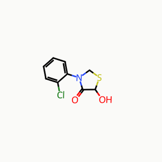 O=C1C(O)SCN1c1ccccc1Cl